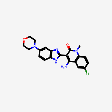 Cn1c(=O)c(-c2nc3cc(N4CCOCC4)ccc3[nH]2)c(N)c2cc(Cl)ccc21